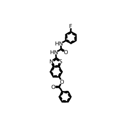 O=C(Nc1cccc(F)c1)Nc1nc2ccc(OC(=O)c3ccccc3)cc2s1